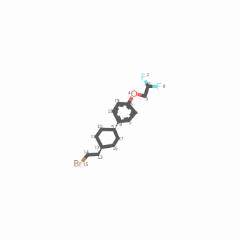 FC(F)COc1ccc([C@H]2CC[C@H](CCBr)CC2)cc1